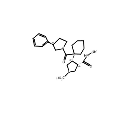 O=C(NO)[C@@H]1CN(C(=O)O)C[C@@H]1C1(C(=O)N2CC[C@H](c3ccccc3)C2)CCCCC1